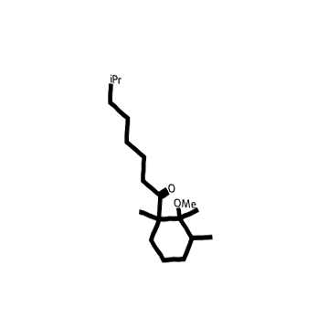 COC1(C)C(C)CCCC1(C)C(=O)CCCCCC(C)C